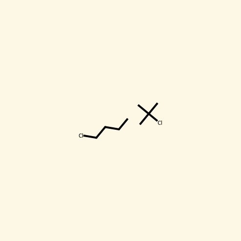 CC(C)(C)Cl.CCCCCl